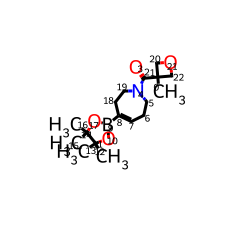 CC1(C(=O)N2CCC=C(B3OC(C)(C)C(C)(C)O3)CC2)COC1